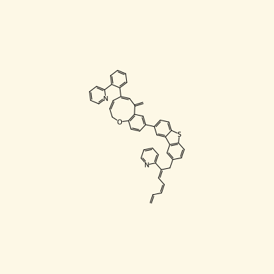 C=C/C=C\C=C(/Cc1ccc2sc3ccc(-c4ccc5c(c4)C(=C)/C=C(c4ccccc4-c4ccccn4)\C=C/CO5)cc3c2c1)c1ccccn1